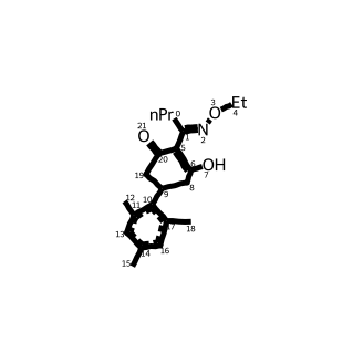 CCC/C(=N\OCC)C1=C(O)CC(c2c(C)cc(C)cc2C)CC1=O